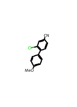 COc1ccc(-c2ccc(C#N)cc2Cl)cc1